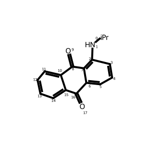 CC(C)Nc1cccc2c1C(=O)c1ccccc1C2=O